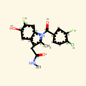 CCNC(=O)Cc1c(C)n(C(=O)c2ccc(Cl)c(F)c2)c2cc(F)c(O)cc12